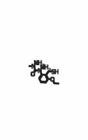 CCOc1cccc(N(N)C(=O)N(C)N)c1CS